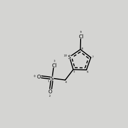 O=S(=O)(Cl)Cc1ccc(Cl)s1